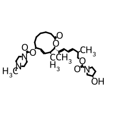 C/C(=C\C=C\[C@@H](C)COC(=O)N1CC[C@@H](O)C1)[C@H]1OC(=O)CCCCCC(OC(=O)N2CCN(C)CC2)/C=C/[C@@H]1C